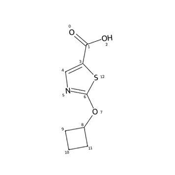 O=C(O)c1cnc(OC2CCC2)s1